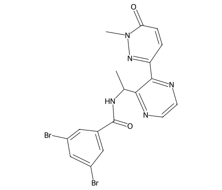 CC(NC(=O)c1cc(Br)cc(Br)c1)c1nccnc1-c1ccc(=O)n(C)n1